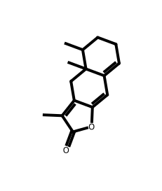 CC1=C2CC3(C)C(=CCCC3C)C=C2OC1=O